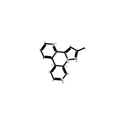 Cc1cc2c3ncccc3c3ccncc3n2n1